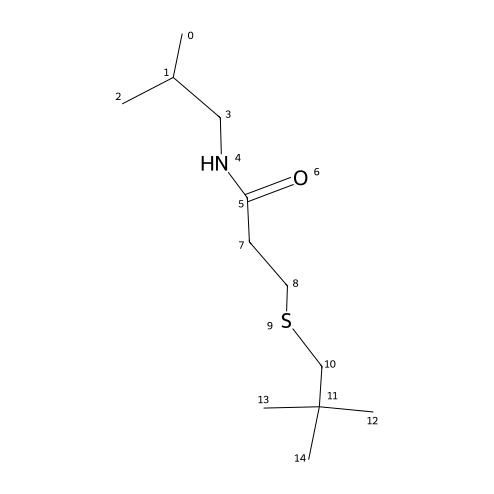 CC(C)CNC(=O)CCSCC(C)(C)C